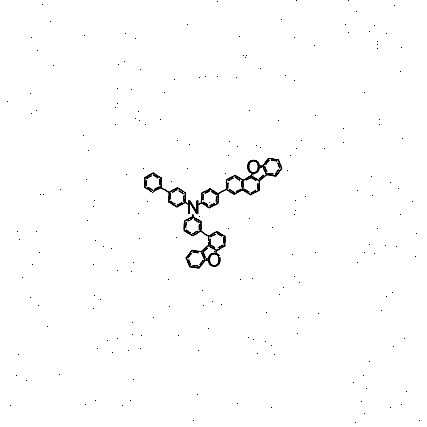 c1ccc(-c2ccc(N(c3ccc(-c4ccc5c(ccc6c7ccccc7oc56)c4)cc3)c3cccc(-c4cccc5oc6ccccc6c45)c3)cc2)cc1